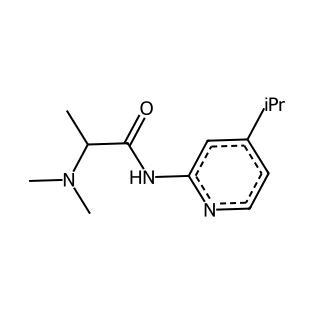 CC(C)c1ccnc(NC(=O)C(C)N(C)C)c1